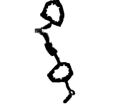 COc1ccc(C#CSc2ccccc2)cc1